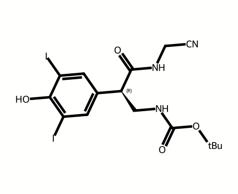 CC(C)(C)OC(=O)NC[C@H](C(=O)NCC#N)c1cc(I)c(O)c(I)c1